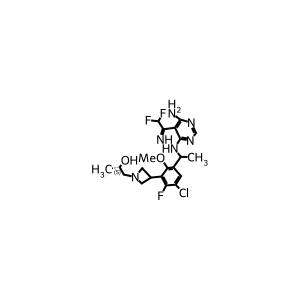 COc1c(C(C)Nc2ncnc(N)c2C(=N)C(F)F)cc(Cl)c(F)c1C1CN(C[C@H](C)O)C1